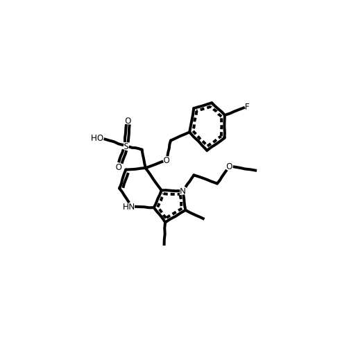 COCCn1c(C)c(C)c2c1C(CS(=O)(=O)O)(OCc1ccc(F)cc1)C=CN2